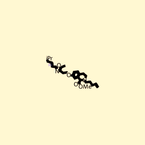 C=CCCCN1CCc2ccc(OCCc3nc(/C=C/CC(C)C)oc3C)cc2C1C(=O)OC